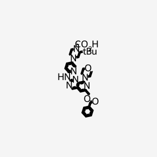 CC(C)(C)C1CN(c2ccc(Nc3ncc4cc(COC(=O)c5ccccc5)nc(N5CCOCC5)c4n3)nc2)CCN1C(=O)O